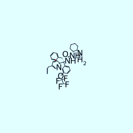 N[C@H]1CCCC[C@H]1NC(=O)N[C@@](Cc1ccccc1)(c1cccc(OC(F)(F)C(F)F)c1)c1ccc(CI)cn1